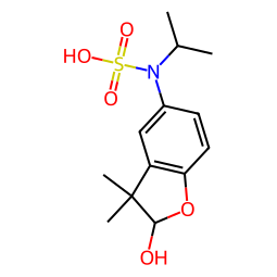 CC(C)N(c1ccc2c(c1)C(C)(C)C(O)O2)S(=O)(=O)O